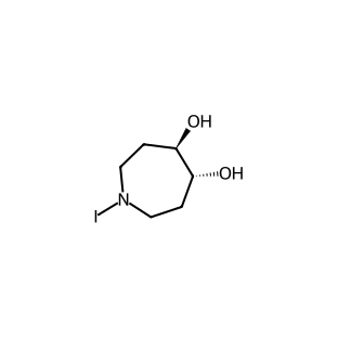 O[C@@H]1CCN(I)CC[C@H]1O